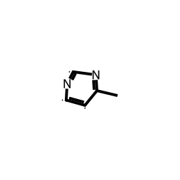 Cc1[c][c]n[c]n1